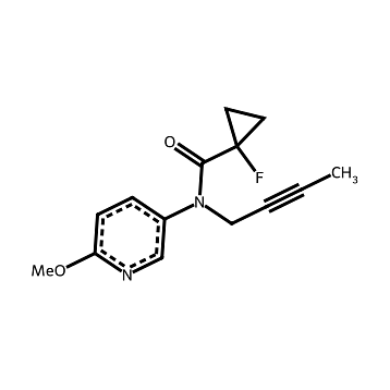 CC#CCN(C(=O)C1(F)CC1)c1ccc(OC)nc1